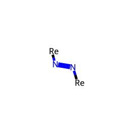 [Re][N]=[N][Re]